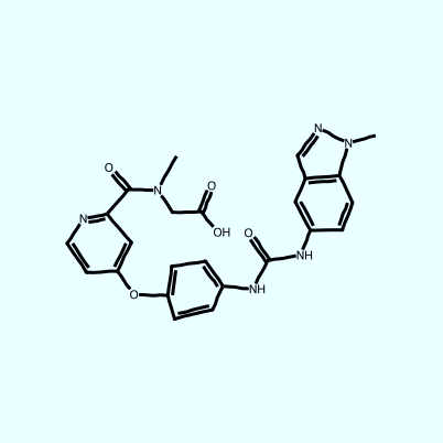 CN(CC(=O)O)C(=O)c1cc(Oc2ccc(NC(=O)Nc3ccc4c(cnn4C)c3)cc2)ccn1